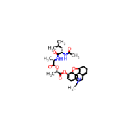 CC(=O)N[C@@H](CC(C)C)C(=O)N[C@@H](C)C(=O)OC(C)C(=O)OC1=CCC2C3CC4=CCCC5=C4C2(CCN3C)C1O5